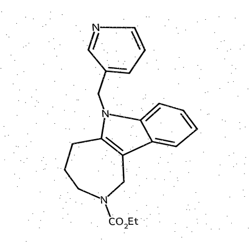 CCOC(=O)N1CCCc2c(c3ccccc3n2Cc2cccnc2)C1